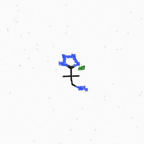 CC(C)(CN)c1nnn[nH]1.Cl